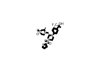 C[C@@H]1CS(=O)(=O)CCN1C[C@H]1CN(S(=O)(=O)c2cccs2)CCN1c1ccc([C@](C)(O)C(F)(F)F)cc1